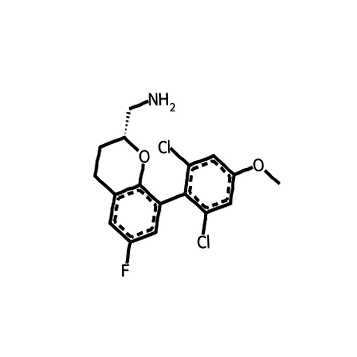 COc1cc(Cl)c(-c2cc(F)cc3c2O[C@@H](CN)CC3)c(Cl)c1